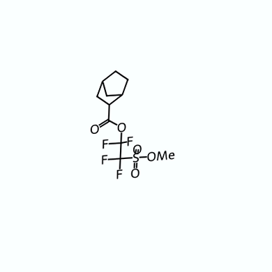 COS(=O)(=O)C(F)(F)C(F)(F)OC(=O)C1CC2CCC1C2